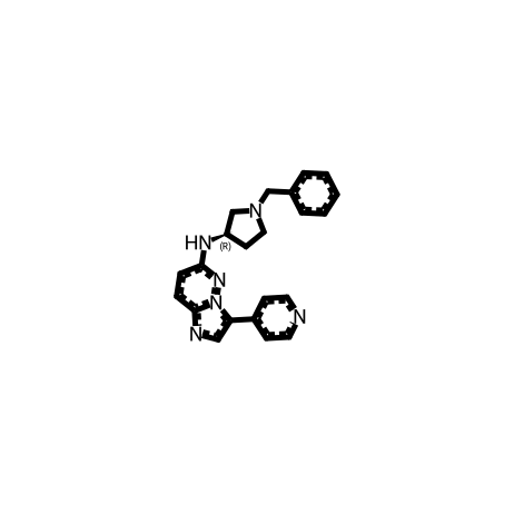 c1ccc(CN2CC[C@@H](Nc3ccc4ncc(-c5ccncc5)n4n3)C2)cc1